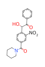 O=C(c1ccccc1)C(O)c1ccc(C(=O)N2CCCCC2)cc1[N+](=O)[O-]